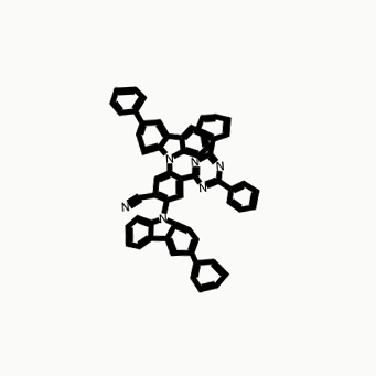 N#Cc1cc(-n2c3ccccc3c3cc(-c4ccccc4)ccc32)c(-c2nc(-c3ccccc3)nc(-c3ccccc3)n2)cc1-n1c2ccccc2c2cc(-c3ccccc3)ccc21